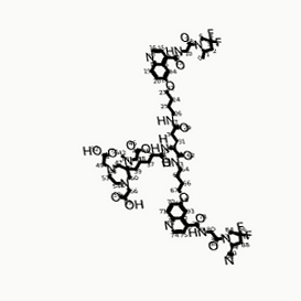 CC1CC(F)(F)CN1C(=O)CNC(=O)c1ccnc2ccc(OCCCCNC(=O)CC[C@H](NC(=O)CCCCC3(N(C)CC(=O)O)CN(CC(=O)O)CCN(CC(=O)O)C3)C(=O)NCCCCOc3ccc4nccc(C(=O)NCC(=O)N5CC(F)(F)C[C@H]5C#N)c4c3)cc12